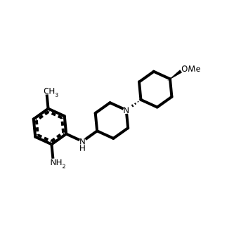 CO[C@H]1CC[C@H](N2CCC(Nc3cc(C)ccc3N)CC2)CC1